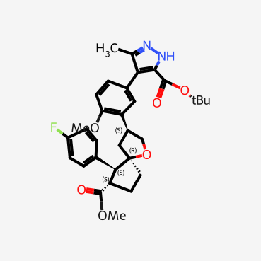 COC(=O)[C@H]1CC[C@@]2(C[C@@H](c3cc(-c4c(C)n[nH]c4C(=O)OC(C)(C)C)ccc3OC)CO2)[C@@H]1c1ccc(F)cc1